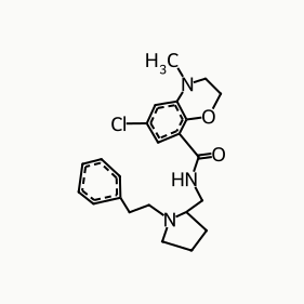 CN1CCOc2c(C(=O)NCC3CCCN3CCc3ccccc3)cc(Cl)cc21